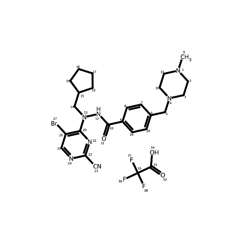 CN1CCN(Cc2ccc(C(=O)NN(CC3CCCC3)c3nc(C#N)ncc3Br)cc2)CC1.O=C(O)C(F)(F)F